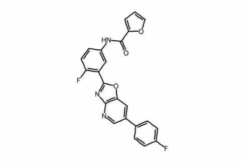 O=C(Nc1ccc(F)c(-c2nc3ncc(-c4ccc(F)cc4)cc3o2)c1)c1ccco1